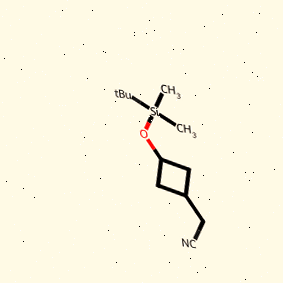 CC(C)(C)[Si](C)(C)OC1CC(CC#N)C1